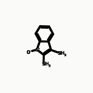 [O-][s+]1c([SiH3])c([SiH3])c2ccccc21